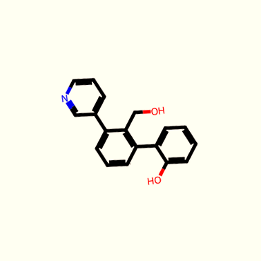 OCc1c(-c2ccccc2O)[c]ccc1-c1cccnc1